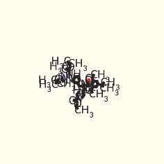 CCOC(=O)N1CCN(C(=O)C(Cc2cccc(N/C(=N\C(=O)OC(C)(C)C)NC(=O)OC(C)(C)C)c2)NS(=O)(=O)c2c(C(C)C)cc(C(C)C)cc2C(C)C)CC1